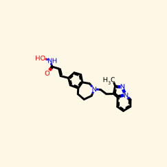 Cc1nn2ccccc2c1CCN1CCCc2cc(/C=C/C(=O)NO)ccc2C1